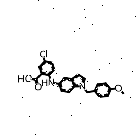 COc1ccc(Cn2ccc3cc(Nc4ccc(Cl)cc4C(=O)O)ccc32)cc1